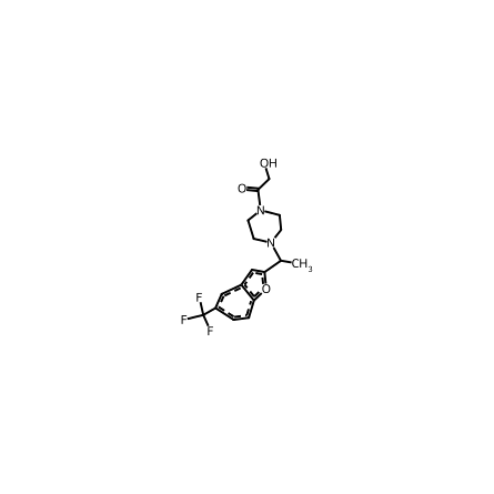 CC(c1cc2cc(C(F)(F)F)ccc2o1)N1CCN(C(=O)CO)CC1